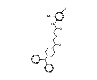 N#Cc1cc(Cl)ccc1NC(=O)COCC(=O)N1CCN(C(c2ccccc2)c2ccccc2)CC1